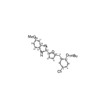 CCCCOc1ccc(Cl)cc1Cc1ccc(-c2nc3cc(OC)ccc3[nH]2)o1